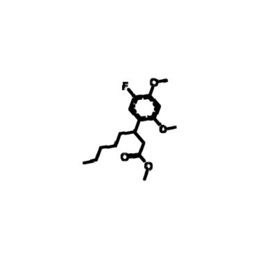 CCCCCC(CC(=O)OC)c1cc(F)c(OC)cc1OC